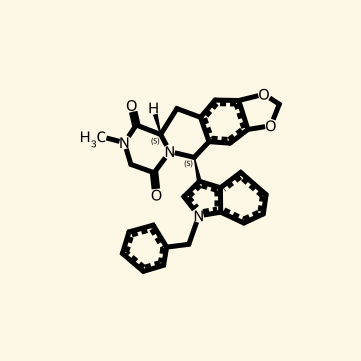 CN1CC(=O)N2[C@H](c3cn(Cc4ccccc4)c4ccccc34)c3cc4c(cc3C[C@H]2C1=O)OCO4